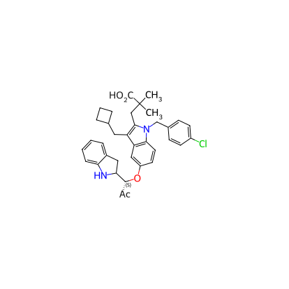 CC(=O)[C@@H](Oc1ccc2c(c1)c(CC1CCC1)c(CC(C)(C)C(=O)O)n2Cc1ccc(Cl)cc1)C1Cc2ccccc2N1